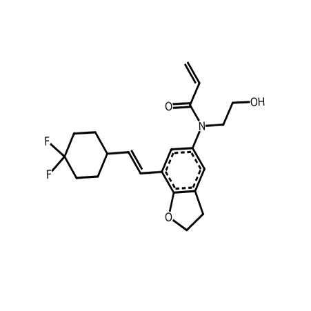 C=CC(=O)N(CCO)c1cc(/C=C/C2CCC(F)(F)CC2)c2c(c1)CCO2